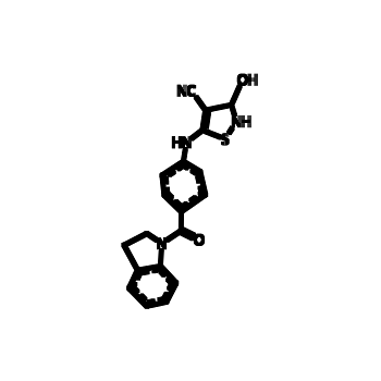 N#CC1=C(Nc2ccc(C(=O)N3CCc4ccccc43)cc2)SNC1O